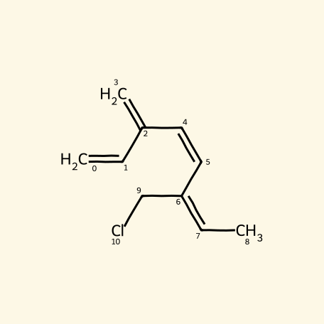 C=CC(=C)/C=C\C(=C/C)CCl